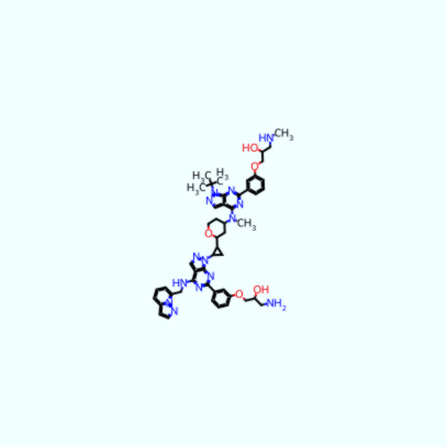 CNCC(O)COc1cccc(-c2nc(N(C)C3CCOC(C4CC4n4ncc5c(NCc6cccc7ccnn67)nc(-c6cccc(OCC(O)CN)c6)nc54)C3)c3cnn(C(C)(C)C)c3n2)c1